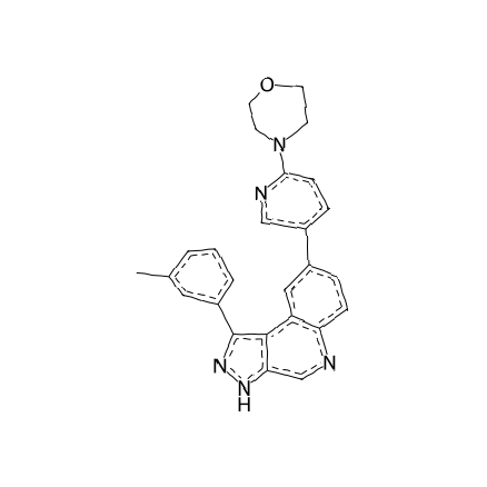 Cc1cccc(-c2n[nH]c3cnc4ccc(-c5ccc(N6CCOCC6)nc5)cc4c23)c1